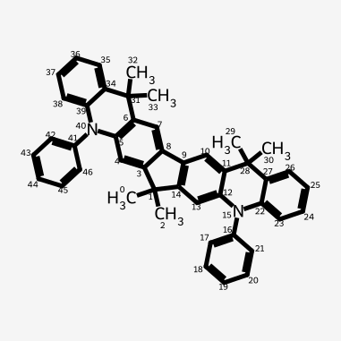 CC1(C)c2cc3c(cc2-c2cc4c(cc21)N(c1ccccc1)c1ccccc1C4(C)C)C(C)(C)c1ccccc1N3c1ccccc1